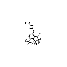 CS(=O)(=O)c1ccc(O[C@H]2C[C@H](O)C2)c2c1[C@H](O)C(F)(F)C2F